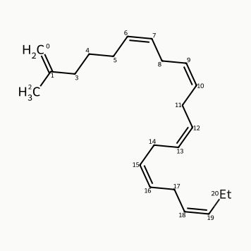 C=C(C)CCC/C=C\C/C=C\C/C=C\C/C=C\C/C=C\CC